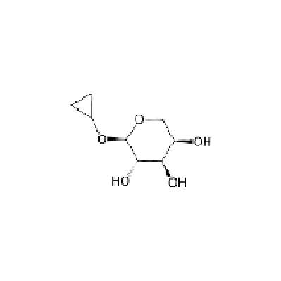 O[C@@H]1[C@@H](OC2CC2)OC[C@@H](O)[C@H]1O